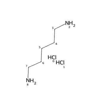 Cl.Cl.NCCCCCN